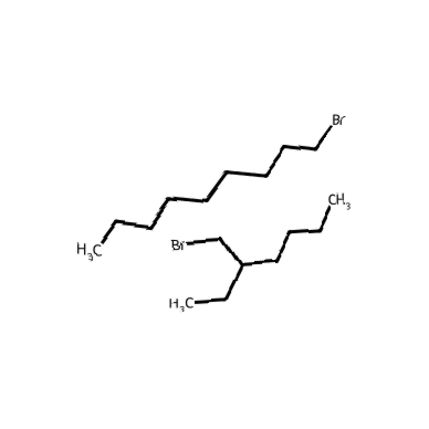 CCCCC(CC)CBr.CCCCCCCCCBr